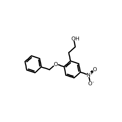 O=[N+]([O-])c1ccc(OCc2ccccc2)c(CCO)c1